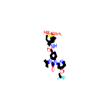 CC(C)n1c(=O)n(-c2cc(OCC(F)F)ccn2)c2ccc(C(=O)NC3(C)CCS(O)(O)CC3)cc21